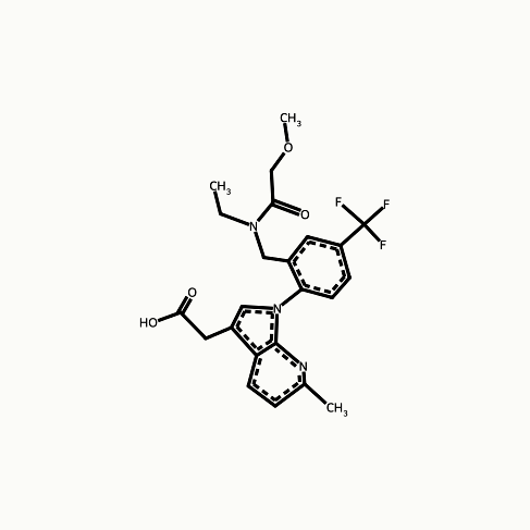 CCN(Cc1cc(C(F)(F)F)ccc1-n1cc(CC(=O)O)c2ccc(C)nc21)C(=O)COC